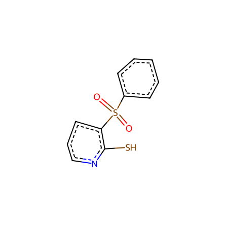 O=S(=O)(c1ccccc1)c1cccnc1S